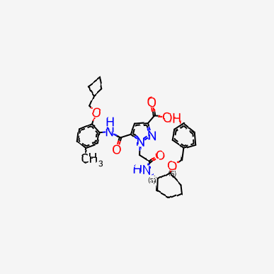 Cc1ccc(OCC2CCC2)c(NC(=O)c2cc(C(=O)O)nn2CC(=O)N[C@H]2CCCC[C@@H]2OCc2ccccc2)c1